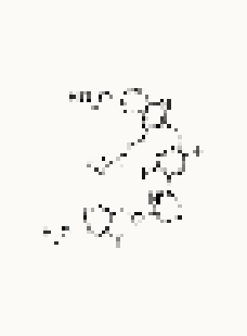 Cc1ccc(COc2cccc(-c3cc(F)c(Cc4nc5ccc(C(=O)O)cc5n4CCOC4CCC4)cc3F)n2)c(F)c1